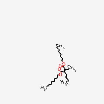 CCCCCCCCOC(=O)/C(CC)=C(/CCCC)C(=O)OCCCCCCCC